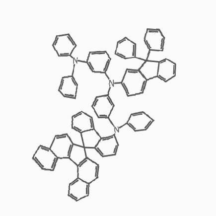 c1ccc(N(c2ccccc2)c2cccc(N(c3cccc(N(c4ccccc4)c4cccc5c4-c4ccccc4C54c5ccc6ccccc6c5-c5c4ccc4ccccc54)c3)c3ccc4c(c3)C(c3ccccc3)(c3ccccc3)c3ccccc3-4)c2)cc1